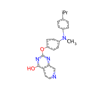 CC(C)c1ccc(N(C)c2ccc(Oc3nc(O)c4ccncc4n3)cc2)cc1